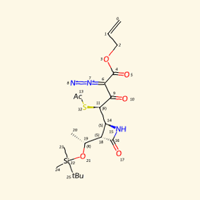 C=CCOC(=O)C(=[N+]=[N-])C(=O)[C@H](SC(C)=O)[C@H]1NC(=O)[C@@H]1[C@@H](C)O[Si](C)(C)C(C)(C)C